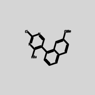 CCCCc1nc(Cl)ncc1-c1cccc2ccc(OC)cc12